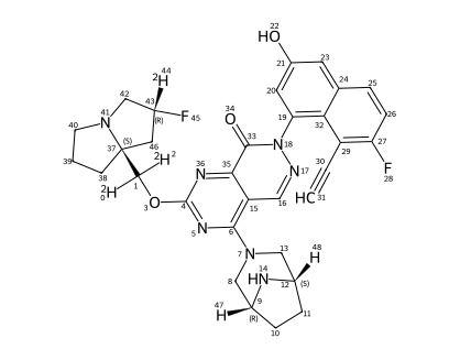 [2H]C([2H])(Oc1nc(N2C[C@H]3CC[C@@H](C2)N3)c2cnn(-c3cc(O)cc4ccc(F)c(C#C)c34)c(=O)c2n1)[C@@]12CCCN1C[C@]([2H])(F)C2